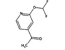 CC(=O)c1ccnc(OC(F)F)c1